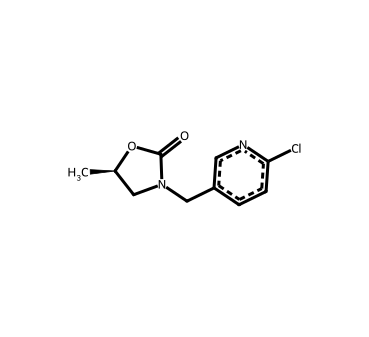 C[C@@H]1CN(Cc2ccc(Cl)nc2)C(=O)O1